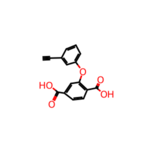 C#Cc1cccc(Oc2cc(C(=O)O)ccc2C(=O)O)c1